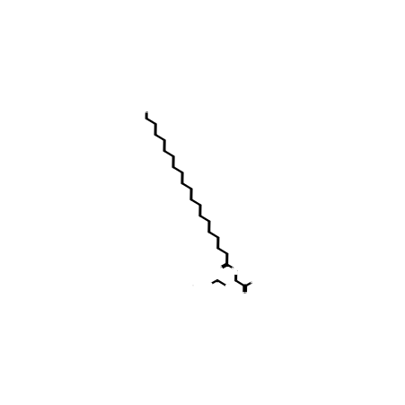 CCC(=O)[C@H](CCC(=O)O)NC(=O)CCCCCCCCCCCCCCCCCCC(=O)O